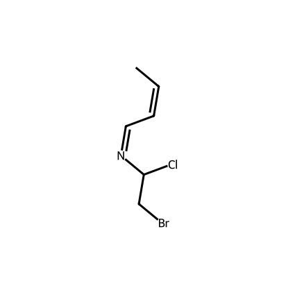 C/C=C\C=N/C(Cl)CBr